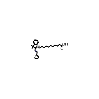 CC1(C)C(/C=C/c2cccs2)=[N+](CCCCCCCCCCC(=O)O)c2ccccc21